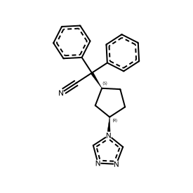 N#CC(c1ccccc1)(c1ccccc1)[C@H]1CC[C@@H](n2cnnc2)C1